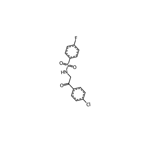 O=C(CNS(=O)(=O)c1ccc(F)cc1)c1ccc(Cl)cc1